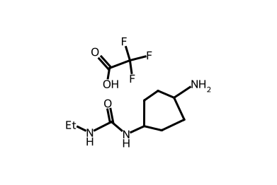 CCNC(=O)NC1CCC(N)CC1.O=C(O)C(F)(F)F